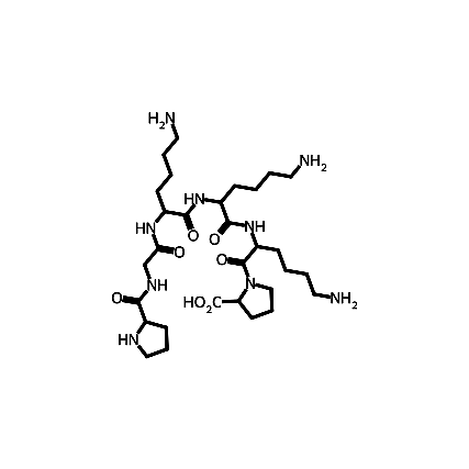 NCCCCC(NC(=O)CNC(=O)C1CCCN1)C(=O)NC(CCCCN)C(=O)NC(CCCCN)C(=O)N1CCCC1C(=O)O